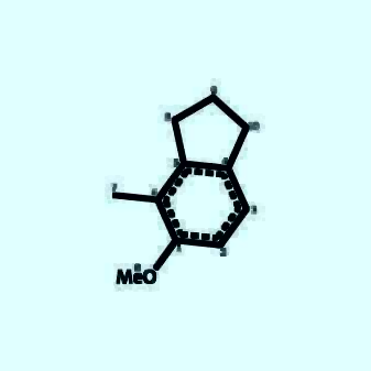 COc1ccc2c(c1C)CCC2